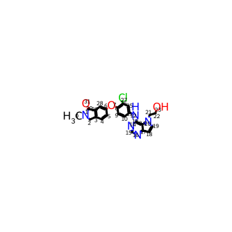 CN1Cc2ccc(Oc3ccc(Nc4ncnc5ccn(CCO)c45)cc3Cl)cc2C1=O